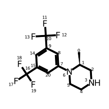 C[C@H]1CNCCN1c1cc(C(F)(F)F)cc(C(F)(F)F)c1